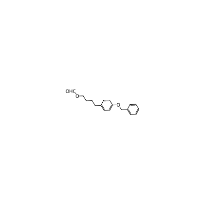 O=[C]OCCCCc1ccc(OCc2ccccc2)cc1